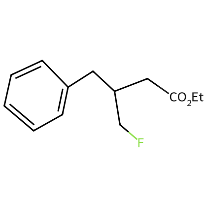 CCOC(=O)CC(CF)Cc1ccccc1